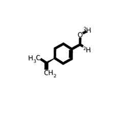 [2H]OC([2H])C1=CC[C@@H](C(=C)C)CC1